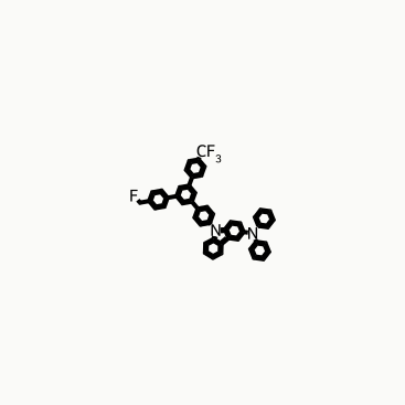 FCc1ccc(-c2cc(-c3ccc(-n4c5ccccc5c5cc(N(c6ccccc6)c6ccccc6)ccc54)cc3)cc(-c3ccc(C(F)(F)F)cc3)c2)cc1